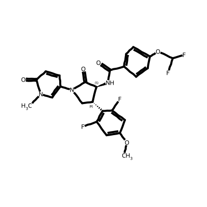 COc1cc(F)c([C@@H]2CN(c3ccc(=O)n(C)c3)C(=O)[C@H]2NC(=O)c2ccc(OC(F)F)cc2)c(F)c1